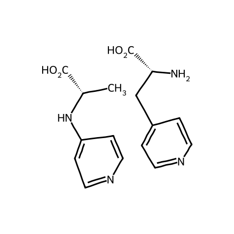 C[C@H](Nc1ccncc1)C(=O)O.N[C@H](Cc1ccncc1)C(=O)O